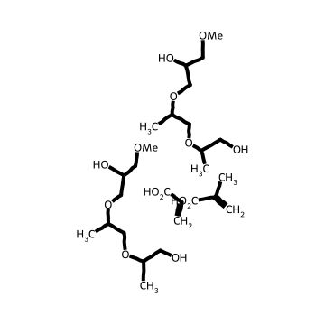 C=C(C)C(=O)O.C=CC(=O)O.COCC(O)COC(C)COC(C)CO.COCC(O)COC(C)COC(C)CO